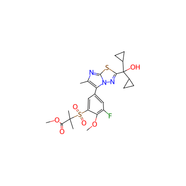 COC(=O)C(C)(C)S(=O)(=O)c1cc(-c2c(C)nc3sc(C(O)(C4CC4)C4CC4)nn23)cc(F)c1OC